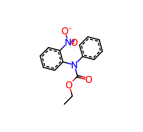 CCOC(=O)N(c1ccccc1)c1ccccc1[N+](=O)[O-]